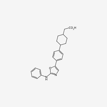 O=C(O)CC1CCC(c2ccc(-c3cnc(Nc4ccccc4)o3)cc2)CC1